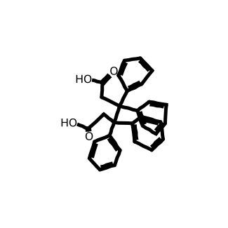 O=C(O)CC(c1ccccc1)(c1ccccc1)C(CC(=O)O)(c1ccccc1)c1ccccc1